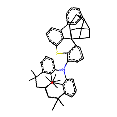 CC1(C)CCC(C)(C)c2c(N(c3cccc4c3Sc3cccc(-c5ccccc5)c3C43C4CC5CC6CC3C64C5)c3cccc4c3C(C)(C)CCC4(C)C)cccc21